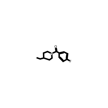 CCC1CCN(C(=O)c2ccc(F)cc2)CC1